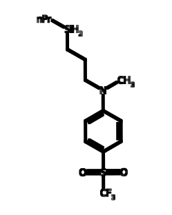 CCC[SiH2]CCCN(C)c1ccc(S(=O)(=O)C(F)(F)F)cc1